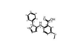 CSc1ccc(Nc2ccnn2-c2ccccc2)c(C(=O)O)c1